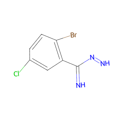 N=NC(=N)c1cc(Cl)ccc1Br